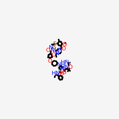 CC[C@@H](NC(=O)[C@@H]1C[C@H](NC2CCCC(Oc3ccc(C(=O)Nc4ncc(Sc5cc(C(=O)N6CCN(C(C)=O)CC6)c(OC)cc5C)s4)cc3)CC2)CN1C(=O)[C@@H](NC(=O)[C@H](C)NC)C(C)(C)C)c1ccccc1